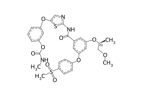 CNC(=O)Oc1cccc(Oc2cnc(NC(=O)c3cc(Oc4ccc(S(C)(=O)=O)cc4)cc(O[C@@H](C)COC)c3)s2)c1